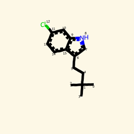 CC(C)(C)CCc1c[nH]c2cc(Cl)ccc12